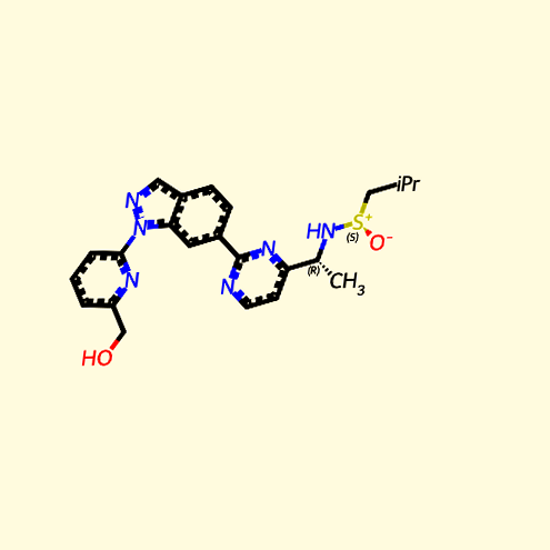 CC(C)C[S@@+]([O-])N[C@H](C)c1ccnc(-c2ccc3cnn(-c4cccc(CO)n4)c3c2)n1